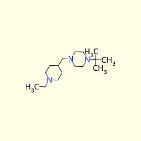 CCN1CCC(CN2CCN(C(C)(C)C)CC2)CC1